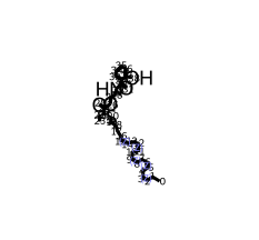 CC/C=C\C/C=C\C/C=C\C/C=C\C/C=C\CCCCS[C@@H](CC)C(=O)OCCNC(=O)c1ccccc1O